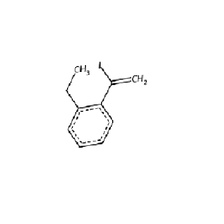 C=C(I)c1ccccc1CC